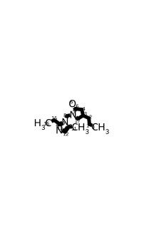 CCCC1CC(=O)N(Cn2c(C)cnc2CC)C1